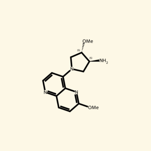 COc1ccc2nccc(N3C[C@H](OC)[C@@H](N)C3)c2n1